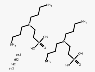 Cl.Cl.Cl.Cl.NCCCN(CCCN)CCP(=O)(O)O.NCCCN(CCCN)CCP(=O)(O)O